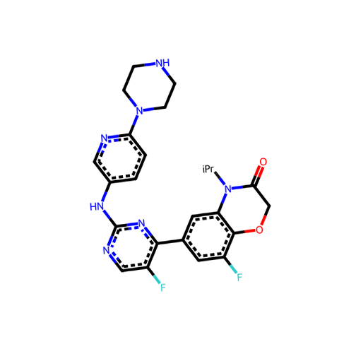 CC(C)N1C(=O)COc2c(F)cc(-c3nc(Nc4ccc(N5CCNCC5)nc4)ncc3F)cc21